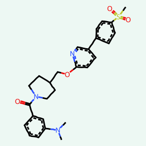 CN(C)c1cccc(C(=O)N2CCC(COc3ccc(-c4ccc(S(C)(=O)=O)cc4)cn3)CC2)c1